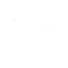 CC(=O)c1c(C)[nH]c2ccc(F)cc12